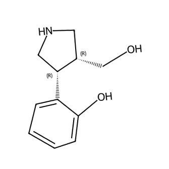 OC[C@H]1CNC[C@H]1c1ccccc1O